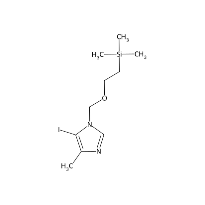 Cc1ncn(COCC[Si](C)(C)C)c1I